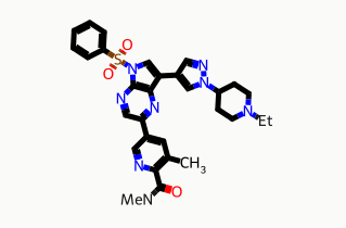 CCN1CCC(n2cc(-c3cn(S(=O)(=O)c4ccccc4)c4ncc(-c5cnc(C(=O)NC)c(C)c5)nc34)cn2)CC1